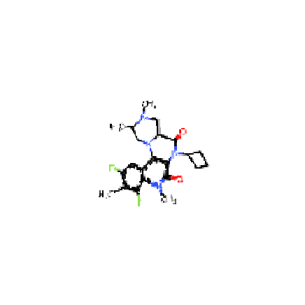 Cc1c(F)cc2c3c(c(=O)n(C)c2c1F)N(C1CCC1)C(=O)C1CN(C)C(C)CN31